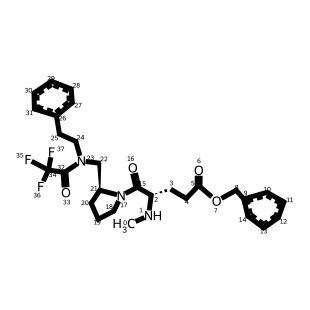 CN[C@@H](CCC(=O)OCc1ccccc1)C(=O)N1CCC[C@H]1CN(CCc1ccccc1)C(=O)C(F)(F)F